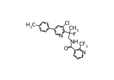 Cc1ccc(-c2cnc(C(C)(F)CNC(=O)c3cccnc3C(F)(F)F)c(Cl)c2)cc1